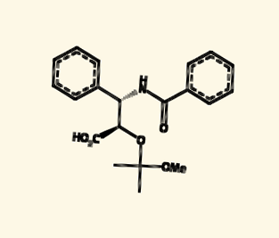 COC(C)(C)O[C@@H](C(=O)O)[C@@H](NC(=O)c1ccccc1)c1ccccc1